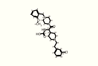 COc1ccccc1CN1CCN(C(=O)C(NC(=O)O)C2CCN(CCc3cccc(Cl)c3)CC2)CC1